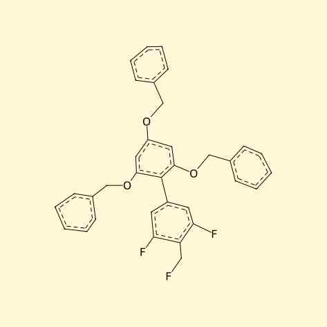 FCc1c(F)cc(-c2c(OCc3ccccc3)cc(OCc3ccccc3)cc2OCc2ccccc2)cc1F